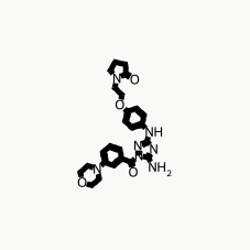 Nc1nc(Nc2ccc(OCCN3CCCC3=O)cc2)nn1C(=O)c1cccc(N2CCOCC2)c1